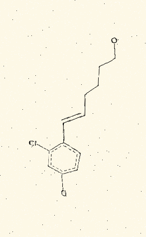 [O]CCCC/C=C/c1ccc(Cl)cc1Cl